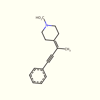 CC(C#Cc1ccccc1)=C1CCN(C(=O)O)CC1